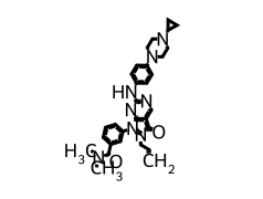 C=CCn1c(=O)c2cnc(Nc3ccc(N4CCN(C5CC5)CC4)cc3)nc2n1-c1cccc(C(=O)N(C)C)c1